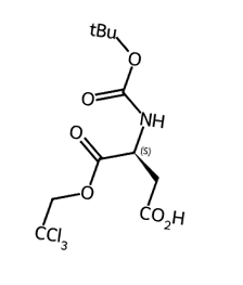 CC(C)(C)OC(=O)N[C@@H](CC(=O)O)C(=O)OCC(Cl)(Cl)Cl